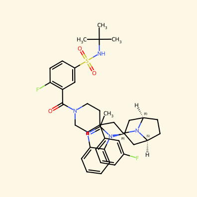 Cc1nc2ccccc2n1[C@H]1C[C@H]2CC[C@@H](C1)N2CCC1(c2cccc(F)c2)CCN(C(=O)c2cc(S(=O)(=O)NC(C)(C)C)ccc2F)CC1